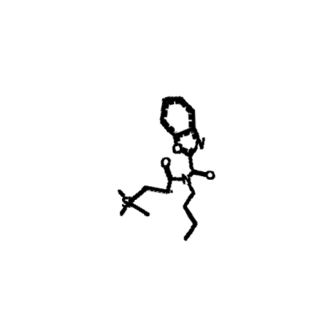 CCCCN(C(=O)[CH]C[Si](C)(C)C)C(=O)c1nc2ccccc2o1